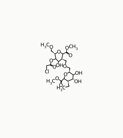 CC[C@H]1C(C(=O)OC)O[C@@H](COC[C@@H]2C(C(=O)OC)O[C@H](COC)C(OC(=O)CCl)[C@@H]2O)C(O)[C@@H]1O